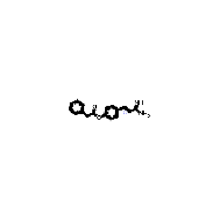 N=C(N)/C=C/c1ccc(OC(=O)Cc2ccccc2)cc1